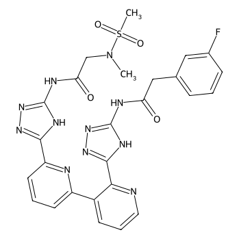 CN(CC(=O)Nc1nnc(-c2cccc(-c3cccnc3-c3nnc(NC(=O)Cc4cccc(F)c4)[nH]3)n2)[nH]1)S(C)(=O)=O